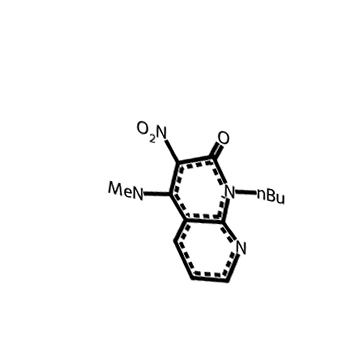 CCCCn1c(=O)c([N+](=O)[O-])c(NC)c2cccnc21